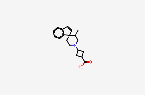 C[C@H]1CN(C2CC(C(=O)O)C2)CC[C@@]12C=Cc1ccccc12